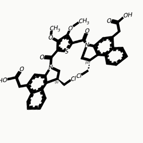 COc1c(C(=O)N2C[C@@H](CCl)c3c2cc(CC(=O)O)c2ccccc32)sc(C(=O)N2C[C@@H](CCl)c3c2cc(CC(=O)O)c2ccccc32)c1OC